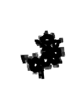 COc1ccccc1C(c1cccc2ccccc12)[C@@](C)(C#N)C(=O)N1CCc2[nH]c3ccc(F)cc3c2C1